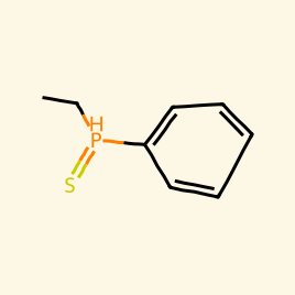 CC[PH](=S)c1ccccc1